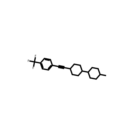 CC1CCC(C2CCC(C#Cc3ccc(C(F)(F)F)cc3)CC2)CC1